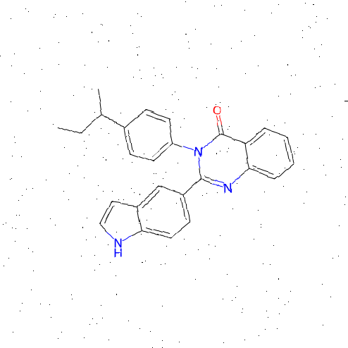 CCC(C)c1ccc(-n2c(-c3ccc4[nH]ccc4c3)nc3ccccc3c2=O)cc1